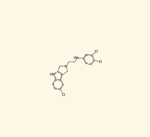 Clc1ccc2[nH]c3c(c2c1)CN(CCNc1ccc(Cl)c(Cl)c1)C3